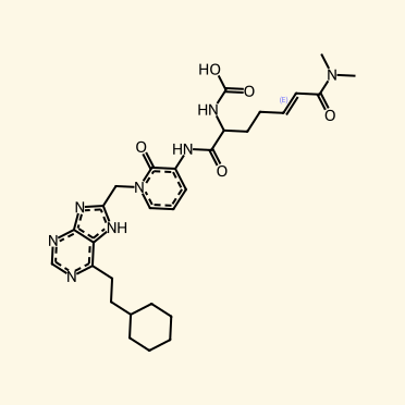 CN(C)C(=O)/C=C/CCC(NC(=O)O)C(=O)Nc1cccn(Cc2nc3ncnc(CCC4CCCCC4)c3[nH]2)c1=O